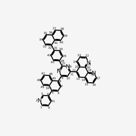 c1cncc(-c2ccc(-c3cc(-c4cc5cccnc5c5ncccc45)nc(-c4ccc(-c5cccc6ccccc56)cc4)n3)c3ccccc23)c1